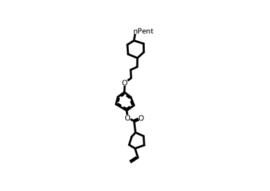 C=CC1CCC(C(=O)Oc2ccc(OCCCC3CCC(CCCCC)CC3)cc2)CC1